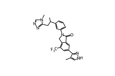 Cc1c[nH]nc1-c1cc2c(c(C(F)(F)F)c1)CN(c1cccc(C(C)Cc3nncn3C)c1)C2=O